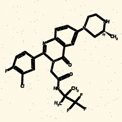 C[C@@H]1CN(c2ccc3nc(-c4ccc(F)c(Cl)c4)n(CC(=O)NC(C)(C)C(F)(F)F)c(=O)c3c2)CCN1